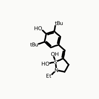 CCN1CCC(=Cc2cc(C(C)(C)C)c(O)c(C(C)(C)C)c2)S1(O)O